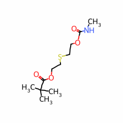 CNC(=O)OCCSCCOC(=O)C(C)(C)C